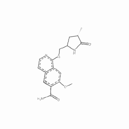 COc1cc2c(OCC3C[C@H](C)C(=O)N3)nccc2cc1C(N)=O